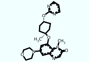 Cn1c(=O)cnc2cc(N3CCOCC3)cc(O[C@]3(C)CC[C@@H](Oc4ncccn4)CC3)c21